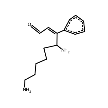 NCCCCCC(N)C(=CC=O)c1ccccc1